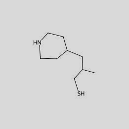 CC(CS)CC1CCNCC1